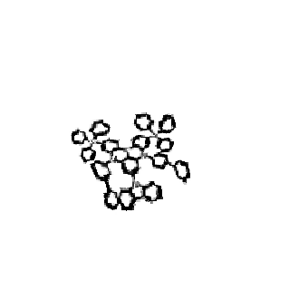 c1ccc(-c2ccc(N3c4cc([Si](c5ccccc5)(c5ccccc5)c5ccccc5)ccc4B4c5ccc([Si](c6ccccc6)(c6ccccc6)c6ccccc6)cc5N(c5cccc(-c6ccccc6)c5)c5cc(-n6c7ccccc7c7ccccc76)cc3c54)cc2)cc1